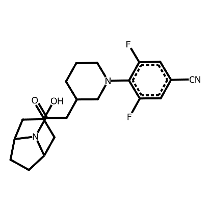 N#Cc1cc(F)c(N2CCCC(CC(=O)N3C4CCC3CC(O)C4)C2)c(F)c1